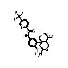 NC1=NC2(c3cc(NC(=O)c4ccc(C(F)(F)F)cn4)ccc3F)COC[C@@H](F)C2CS1